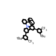 CC(C)(C)c1cc(-c2ccc3c(c2)c2cc(-c4cc(C(C)(C)C)cc(C(F)(F)F)c4)ccc2n3-c2ccccc2C23CC4CC(CC(C4)C2)C3)cc(C(F)(F)F)c1